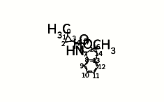 CC1CC1C(=O)N[C@H]1c2ccccc2C[C@]1(C)O